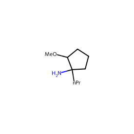 CCCC1(N)CCCC1OC